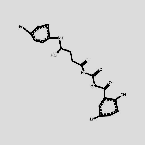 O=C(CCC(O)Nc1ccc(Br)cc1)NC(=O)NC(=O)c1cc(Br)ccc1O